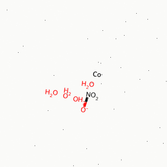 O.O.O.O.O=[N+]([O-])[O-].[Co]